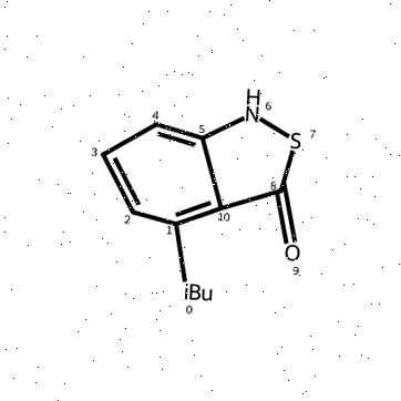 CCC(C)c1cccc2[nH]sc(=O)c12